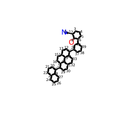 N#Cc1cccc2c1oc1c(-c3ccc4ccc5c(-c6cccc7ccccc67)ccc6ccc3c4c65)cccc12